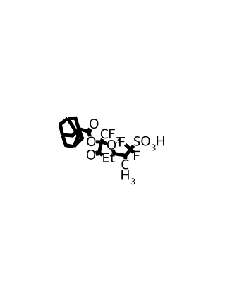 CCC(=O)C(OCC(C)C(F)(F)S(=O)(=O)O)(OC(=O)C12CC3CC(CC(C3)C1)C2)C(F)(F)F